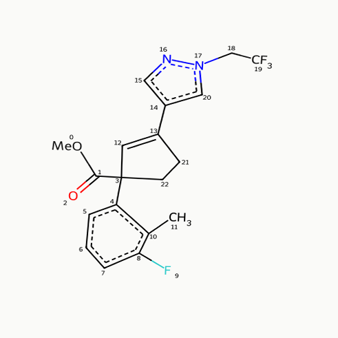 COC(=O)C1(c2cccc(F)c2C)C=C(c2cnn(CC(F)(F)F)c2)CC1